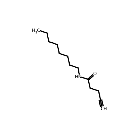 C#CCCC(=O)NCCCCCCCC